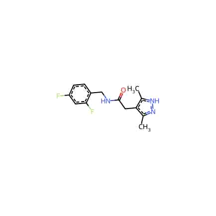 Cc1n[nH]c(C)c1CC(=O)NCc1ccc(F)cc1F